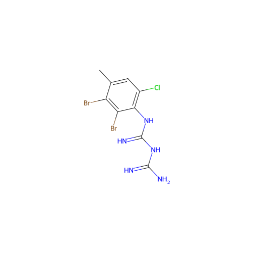 Cc1cc(Cl)c(NC(=N)NC(=N)N)c(Br)c1Br